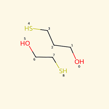 OCCCS.OCCS